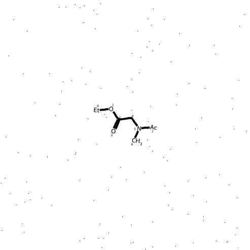 CCOC(=O)CN(C)C(C)=O